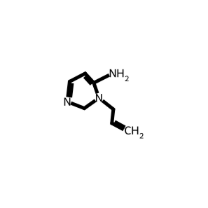 C=CCN1CN=CC=C1N